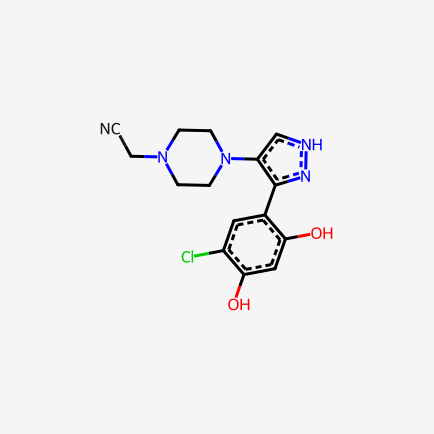 N#CCN1CCN(c2c[nH]nc2-c2cc(Cl)c(O)cc2O)CC1